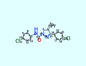 CCCC1CN(C(=O)Nc2ccc(Cl)cc2)N=C1c1ccc(Cl)cc1